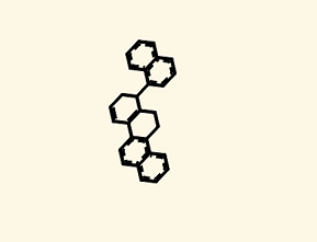 C1=CC2=C(CCc3c2ccc2ccccc32)C(c2cccc3ccccc23)C1